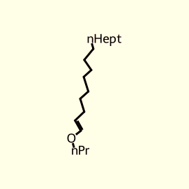 CCCCCCCCCCCCCCC=COCCC